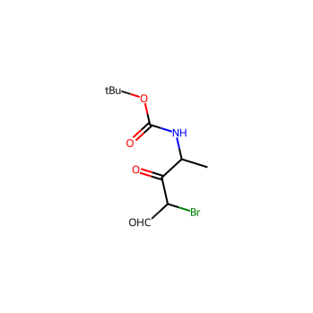 CC(NC(=O)OC(C)(C)C)C(=O)C(Br)C=O